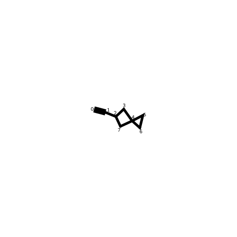 C#CC1CC2(CC2)C1